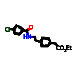 CCOC(=O)Cc1ccc(CCNC(=O)c2ccc(Cl)cc2)cc1